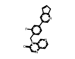 O=c1cnc2ccncc2n1Cc1ccc(-c2cnc3c(c2)C=CC3)cc1F